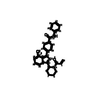 C=CC(=O)N1CCCCC1c1nc(-c2ccc(C(=O)Nc3ccccn3)cc2)c2c(C(F)(F)F)nccn12